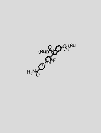 CC(C)(C)OC(=O)n1c(-c2ccc(N3CCC(C(N)=O)CC3)nc2F)cc2cc(O[Si](C)(C)C(C)(C)C)ccc21